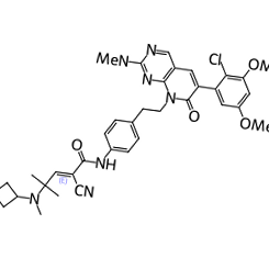 CNc1ncc2cc(-c3cc(OC)cc(OC)c3Cl)c(=O)n(CCc3ccc(NC(=O)/C(C#N)=C/C(C)(C)N(C)C4COC4)cc3)c2n1